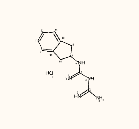 Cl.N=C(N)NC(=N)NC1Cc2ccccc2C1